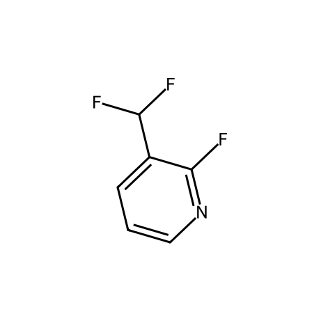 Fc1ncccc1C(F)F